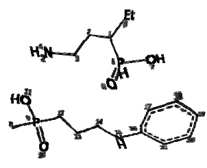 CCC(CCN)[PH](=O)O.CP(=O)(O)CCCNc1ccccc1